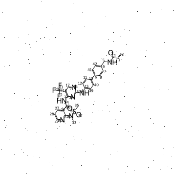 C=CC(=O)NCc1ccc(-c2ccc(Nc3ncc(C(F)(F)F)c(NCc4cccnc4N(C)S(C)(=O)=O)n3)cc2)cc1